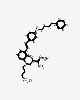 CCOC(=O)CCCN1CC(C(N)=NO)Oc2c(C=Cc3ccc(OCCCCc4ccccc4)cc3)cccc21